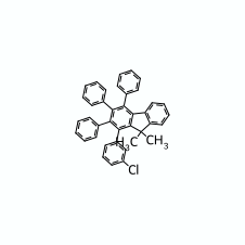 CC1(C)c2ccccc2-c2c(-c3ccccc3)c(-c3ccccc3)c(-c3ccccc3)c(-c3cccc(Cl)c3)c21